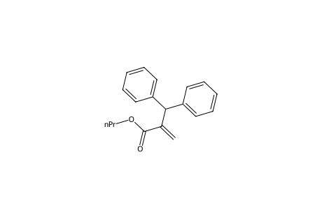 C=C(C(=O)OCCC)C(c1ccccc1)c1ccccc1